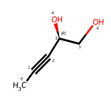 CC#C[C@@H](O)CO